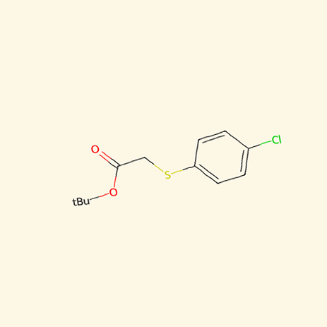 CC(C)(C)OC(=O)CSc1ccc(Cl)cc1